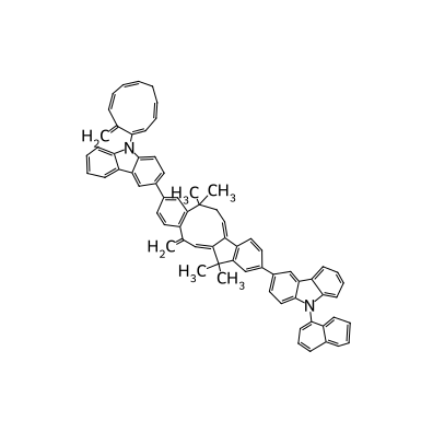 C=C1/C=C\C=C/C/C=C\C=C/1n1c2ccccc2c2cc(-c3ccc4c(c3)C(C)(C)C/C=C3\C(=C/C4=C)C(C)(C)c4cc(-c5ccc6c(c5)c5ccccc5n6-c5cccc6ccccc56)ccc43)ccc21